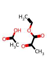 C=COC(=O)C(C)=O.CC(=O)O